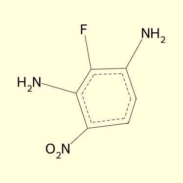 Nc1ccc([N+](=O)[O-])c(N)c1F